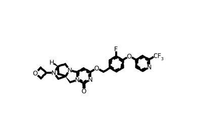 O=c1nc(OCc2ccc(Oc3ccnc(C(F)(F)F)c3)c(F)c2)cc2n1C[C@@]13C[C@@H](CN21)N(C1COC1)C3